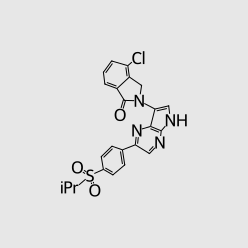 CC(C)S(=O)(=O)c1ccc(-c2cnc3[nH]cc(N4Cc5c(Cl)cccc5C4=O)c3n2)cc1